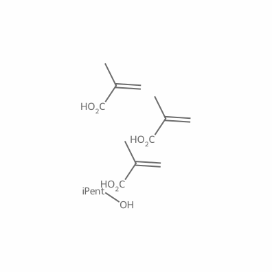 C=C(C)C(=O)O.C=C(C)C(=O)O.C=C(C)C(=O)O.CCCC(C)O